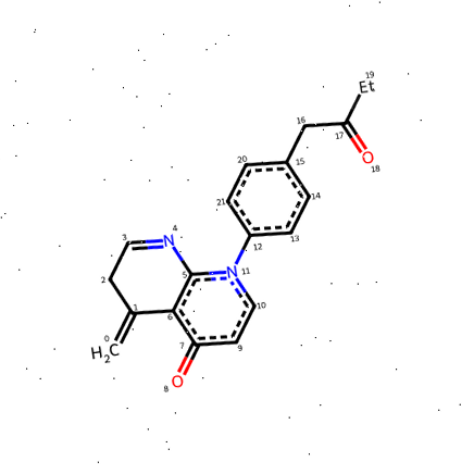 C=C1CC=Nc2c1c(=O)ccn2-c1ccc(CC(=O)CC)cc1